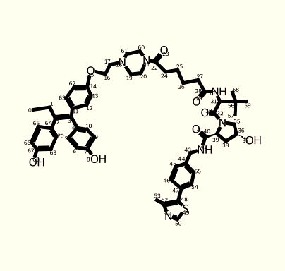 CCC(=C(c1ccc(O)cc1)c1ccc(OCCN2CCN(C(=O)CCCCC(=O)NC(C(=O)N3C[C@H](O)C[C@H]3C(=O)NCc3ccc(-c4scnc4C)cc3)C(C)(C)C)CC2)cc1)c1ccc(O)cc1